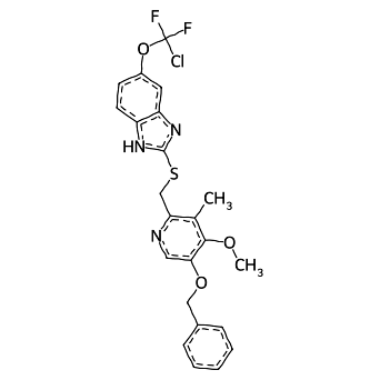 COc1c(OCc2ccccc2)cnc(CSc2nc3cc(OC(F)(F)Cl)ccc3[nH]2)c1C